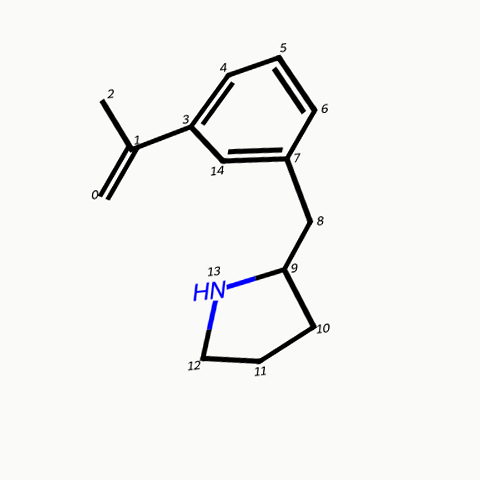 C=C(C)c1cccc(CC2CCCN2)c1